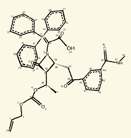 C=CCOC(=O)O[C@H](C)[C@H]1C(=O)N(C(C(=O)O)=P(c2ccccc2)(c2ccccc2)c2ccccc2)[C@@H]1CC(=O)c1cccc(C(=O)NC)c1